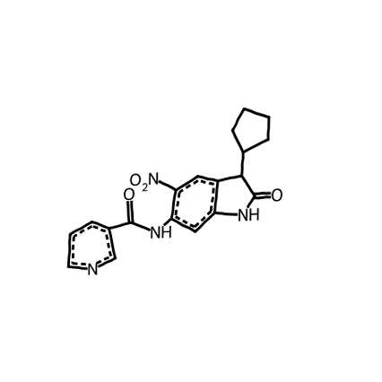 O=C(Nc1cc2c(cc1[N+](=O)[O-])C(C1CCCC1)C(=O)N2)c1cccnc1